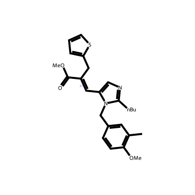 CCCCc1ncc(/C=C(\Cc2cccs2)C(=O)OC)n1Cc1ccc(OC)c(C)c1